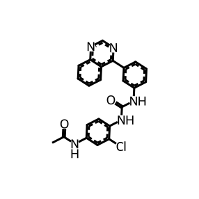 CC(=O)Nc1ccc(NC(=O)Nc2cccc(-c3ncnc4ccccc34)c2)c(Cl)c1